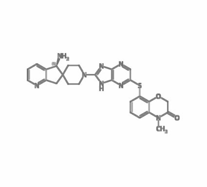 CN1C(=O)COc2c(Sc3cnc4nc(N5CCC6(CC5)Cc5ncccc5[C@H]6N)[nH]c4n3)cccc21